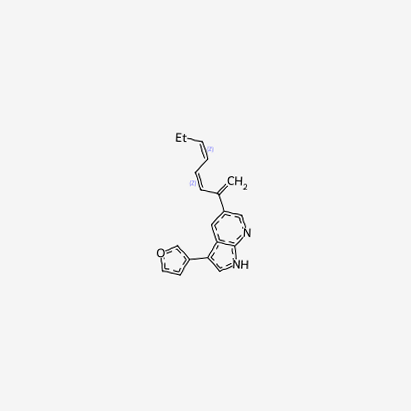 C=C(/C=C\C=C/CC)c1cnc2[nH]cc(-c3ccoc3)c2c1